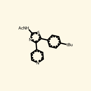 CC(=O)Nc1nc(-c2ccncc2)c(-c2ccc(C(C)(C)C)cc2)s1